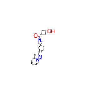 CC1(O)CC(C(=O)N2CC3(CC[C@@H](c4cc5ccccn5n4)C3)C2)C1